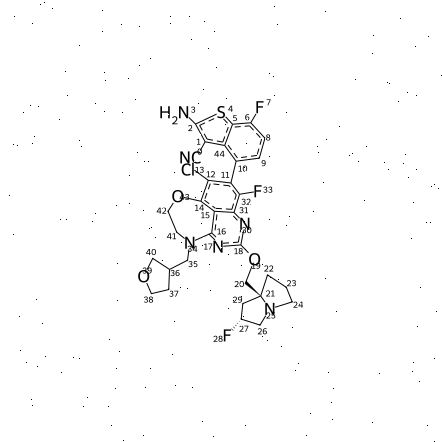 N#Cc1c(N)sc2c(F)ccc(-c3c(Cl)c4c5c(nc(OC[C@@]67CCCN6C[C@H](F)C7)nc5c3F)N(CC3CCOC3)CCO4)c12